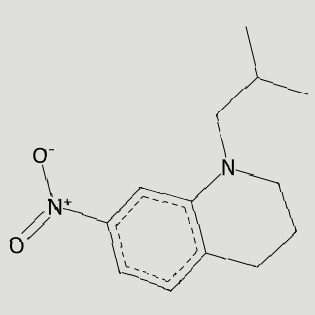 CC(C)CN1CCCc2ccc([N+](=O)[O-])cc21